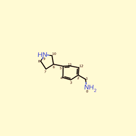 NCc1ccc(C2CCNC2)cc1